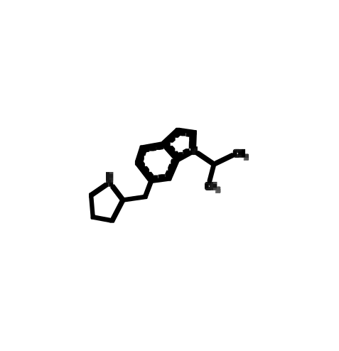 CC(C)n1ccc2ccc(CC3CCCN3)cc21